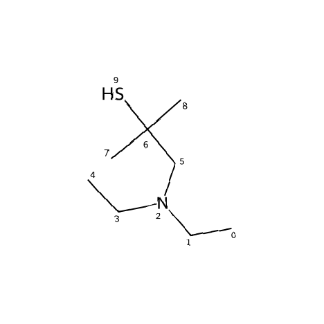 CCN(CC)CC(C)(C)S